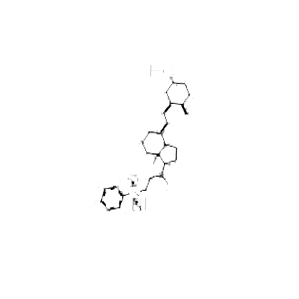 C=C1CCC(O)C/C1=C/C=C1\CCCC2(C)C1CCC2C(C)CCS(=N)(=O)c1ccccc1